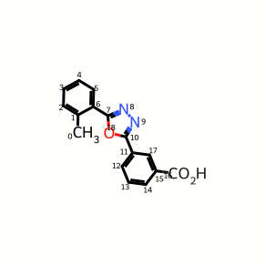 Cc1ccccc1-c1nnc(-c2cccc(C(=O)O)c2)o1